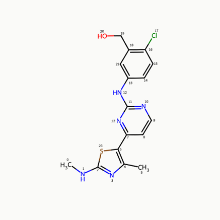 CNc1nc(C)c(-c2ccnc(Nc3ccc(Cl)c(CO)c3)n2)s1